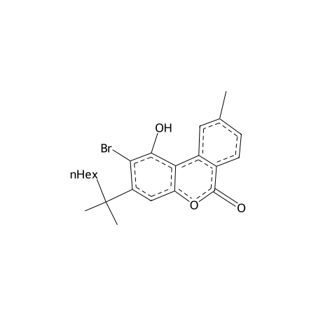 CCCCCCC(C)(C)c1cc2oc(=O)c3ccc(C)cc3c2c(O)c1Br